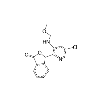 COCNc1cc(Cl)cnc1C1OC(=O)c2ccccc21